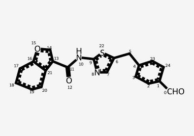 O=Cc1ccc(Cc2cnc(NC(=O)c3coc4ccccc34)s2)cc1